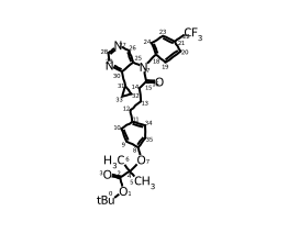 CC(C)(C)OC(=O)C(C)(C)Oc1ccc(CCCC(=O)N(c2ccc(C(F)(F)F)cc2)c2cncnc2C2CC2)cc1